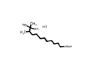 CCCCCCCCCCCCCCCCCCC(C)C(C)(N)O.Cl